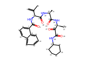 C=C(C)[C@H](NC(=O)c1cccc2ccccc12)C(=O)N[C@@H](C)C(=O)N[C@H](C(=O)C(=O)NC1CCCCC1)C(C)C